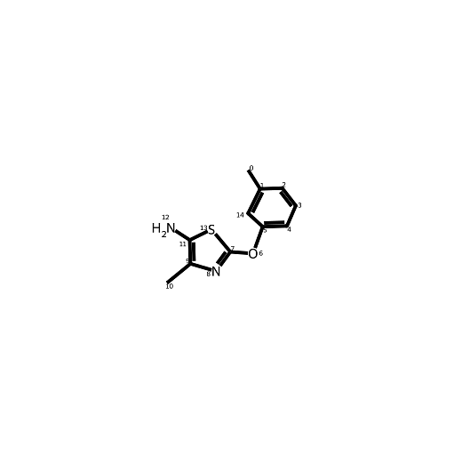 Cc1cccc(Oc2nc(C)c(N)s2)c1